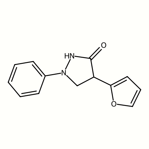 O=C1NN(c2ccccc2)CC1c1ccco1